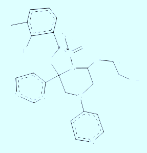 C[C@H](CO)OC1CN(c2ccncc2)CC(SCc2cccc(F)c2F)(c2ccncn2)N1S(N)(=O)=O